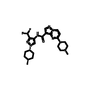 CN1CCN(c2ccn3ncc(C(=O)Nc4cn([C@H]5CC[C@H](C)CC5)nc4C(F)F)c3n2)CC1